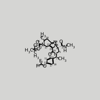 CNC(=O)[C@@H]1CN([C@@H](C)c2ccc(OC(F)F)cc2)C(=O)c2c3c(nn21)C[C@@H](C)N(C(=O)OC(C)(C)C)C3